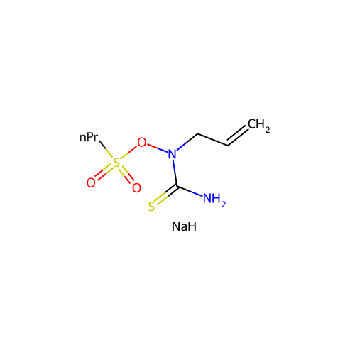 C=CCN(OS(=O)(=O)CCC)C(N)=S.[NaH]